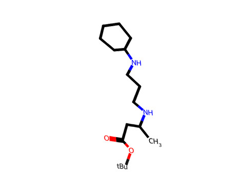 CC(CC(=O)OC(C)(C)C)NCCCNC1CCCCC1